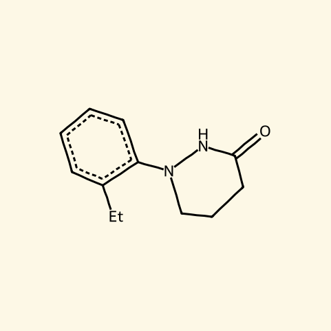 CCc1ccccc1N1CCCC(=O)N1